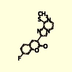 CSc1nccn2cc(-c3cc4ccc(F)cc4oc3=O)nc12